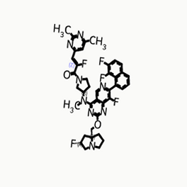 Cc1cc(/C=C(\F)C(=O)N2CC[C@@H](N(C)c3nc(OC[C@@]45CCCN4C[C@H](F)C5)nc4c(F)c(-c5cccc6ccc(F)c(F)c56)ncc34)C2)nc(C)n1